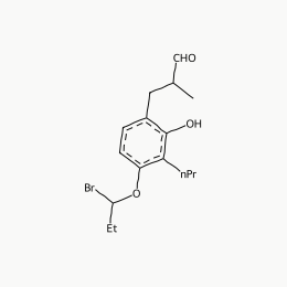 CCCc1c(OC(Br)CC)ccc(CC(C)C=O)c1O